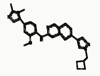 COc1cc(-c2cnc(C)n2C)ccc1Nc1cc2cc(-c3cnn(CC4CCC4)c3)ccc2cn1